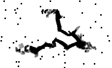 C=C(CCCN)CCNCCC